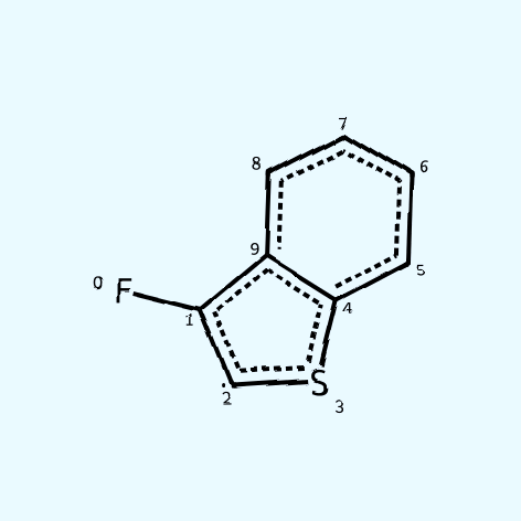 Fc1[c]sc2ccccc12